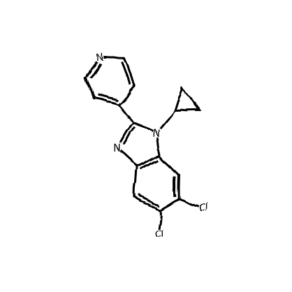 Clc1cc2nc(-c3ccncc3)n(C3CC3)c2cc1Cl